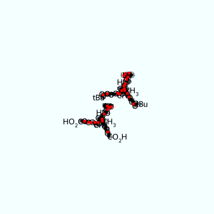 CN(CCOCCOCCOCCC(=O)O)C(=O)CN(CC(=O)N(C)CCOCCOCCOCCC(=O)O)C(=O)CCOCCNC(=O)OCC1c2ccccc2-c2ccccc21.CN(CCOCCOCCOCCC(=O)OC(C)(C)C)C(=O)CN(CC(=O)N(C)CCOCCOCCOCCC(=O)OC(C)(C)C)C(=O)CCOCCNC(=O)OCC1c2ccccc2-c2ccccc21